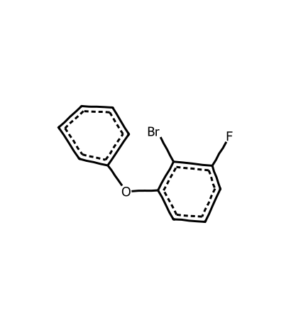 Fc1cccc(Oc2ccccc2)c1Br